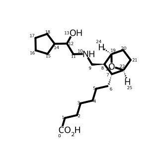 O=C(O)CCCCCC[C@@H]1[C@@H](CNCC(O)C2CCCC2)[C@H]2CC[C@@H]1O2